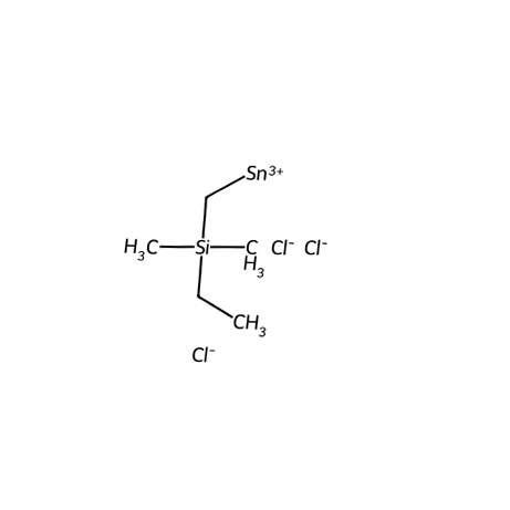 CC[Si](C)(C)[CH2][Sn+3].[Cl-].[Cl-].[Cl-]